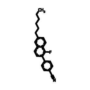 CCCCCCc1ccc2c(F)c(-c3ccc(C#N)cc3)ccc2c1